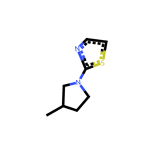 CC1CCN(c2nccs2)C1